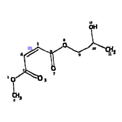 COC(=O)/C=C\C(=O)OCC(C)O